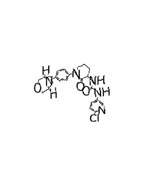 O=C(Nc1ccc(Cl)nc1)N[C@@H]1CCCN(c2ccc(N3[C@@H]4CC[C@H]3COC4)cc2)C1=O